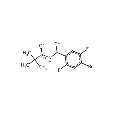 CC(N[S@+]([O-])C(C)(C)C)c1cc(F)c(Br)cc1F